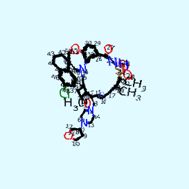 CO[C@@]1(CN2CCN([C@@H]3CCOC3)CC2)/C=C/C[C@H](C)[C@@H](C)S(=O)(=O)NC(=O)c2ccc3c(c2)N(C[C@@H]2CC[C@H]21)C[C@@]1(CCCc2cc(Cl)ccc21)CO3